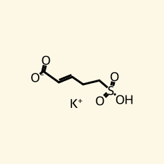 O=C([O-])C=CCCS(=O)(=O)O.[K+]